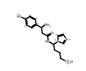 NC(CC(=O)NC(CCCC(=O)O)n1ccnc1)c1ccc(O)cc1